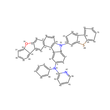 c1ccc(N(c2ccc3c(c2)c2c4cc5c(cc4ccc2n3-c2ccc3c(c2)sc2ccccc23)oc2ccccc25)c2ccccn2)cc1